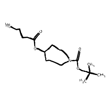 CC(C)(C)OC(=O)N1CCC(OC(=O)CCS)CC1